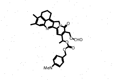 CNc1ccc(COC(=O)OC(C)c2cc3n(c(=O)c2COC=O)Cc2c-3nc3cc(C)c(C)c4c3c2CCC4)cc1